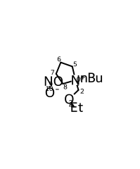 CCCC[N+]1(COCC)CCCC1.O=N[O-]